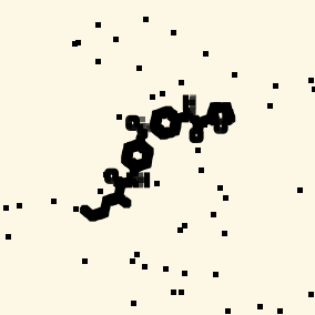 C/C=C\C=C(/C)C(=O)Nc1ccc([S+]([O-])c2ccc(NC(=O)c3ccco3)cc2)cc1